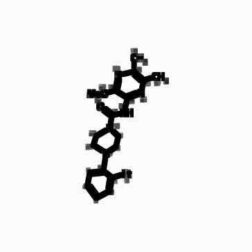 CCc1ccccc1N1CCN(C(=O)Nc2nc(C)c(C)nc2OC)CC1